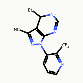 CCC1NC=Nc2c1c(C#N)nn2-c1cccnc1C(F)(F)F